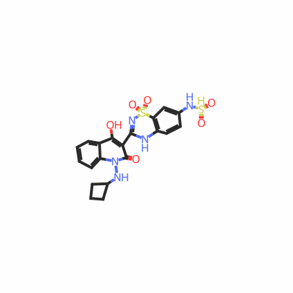 O=c1c(C2=NS(=O)(=O)c3cc(N[SH](=O)=O)ccc3N2)c(O)c2ccccc2n1NC1CCC1